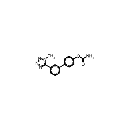 Cn1nnnc1-c1cccc(-c2ccc(OC(N)=O)cc2)c1